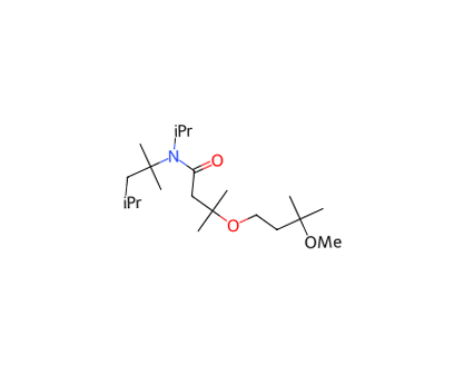 COC(C)(C)CCOC(C)(C)CC(=O)N(C(C)C)C(C)(C)CC(C)C